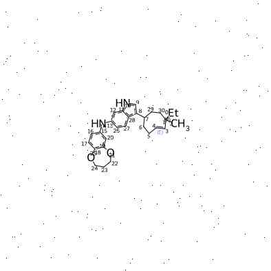 CC[C@@]1(C)/C=C/CCC(c2c[nH]c3cc(Nc4ccc5c(c4)OCCCO5)ccc23)CC1